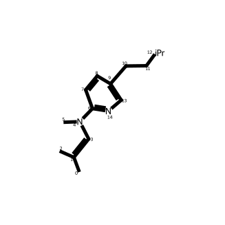 CC(C)=CN(C)c1ccc(CCC(C)C)cn1